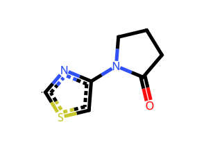 O=C1CCCN1c1cs[c]n1